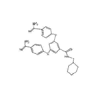 N=C(N)c1ccc(Oc2cc(Oc3ccc(C(=N)N)cc3)cc(C(=O)NCC3CCCCC3)c2)cc1